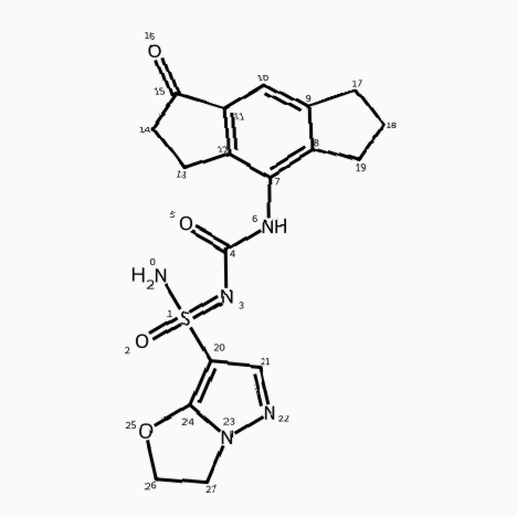 NS(=O)(=NC(=O)Nc1c2c(cc3c1CCC3=O)CCC2)c1cnn2c1OCC2